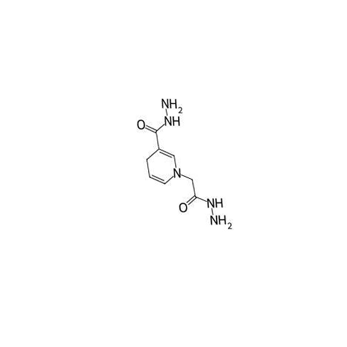 NNC(=O)CN1C=CCC(C(=O)NN)=C1